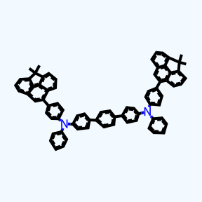 CC1(C)c2cccc3cc(-c4ccc(N(c5ccccc5)c5ccc(-c6ccc(-c7ccc(N(c8ccccc8)c8ccc(-c9cc%10cccc%11c%10c%10c(cccc9%10)C%11(C)C)cc8)cc7)cc6)cc5)cc4)c4cccc1c4c23